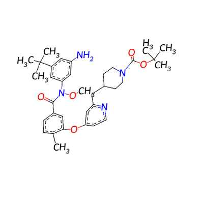 CON(C(=O)c1ccc(C)c(Oc2ccnc(CC3CCN(C(=O)OC(C)(C)C)CC3)c2)c1)c1cc(N)cc(C(C)(C)C)c1